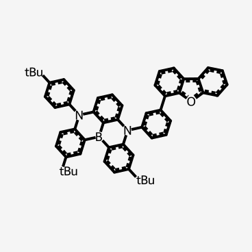 CC(C)(C)c1ccc(N2c3ccc(C(C)(C)C)cc3B3c4ccc(C(C)(C)C)cc4N(c4cccc(-c5cccc6c5oc5ccccc56)c4)c4cccc2c43)cc1